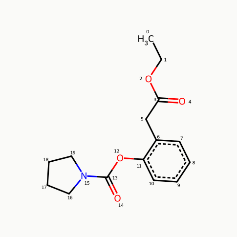 CCOC(=O)Cc1ccccc1OC(=O)N1CCCC1